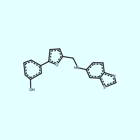 Oc1cccc(-c2ccc(CNc3ccc4ncsc4c3)o2)c1